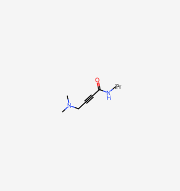 CC(C)NC(=O)C#CCN(C)C